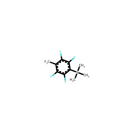 C[Si](C)(C)c1c(F)c(F)c(C(F)(F)F)c(F)c1F